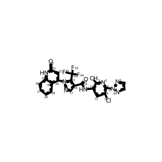 Cc1nc(-n2nccn2)c(Cl)cc1NC(=O)c1cnn(-c2cc(=O)[nH]c3ccccc23)c1C(F)(F)F